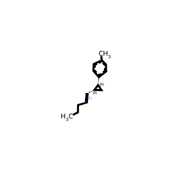 CCC/C=C/[C@H]1C[C@H]1c1ccc(C)cc1